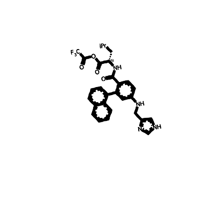 CC(C)C[C@H](NC(=O)c1ccc(NCc2c[nH]cn2)cc1-c1cccc2ccccc12)C(=O)OC(=O)C(F)(F)F